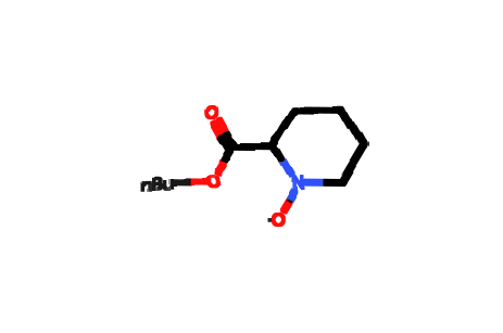 CCCCOC(=O)C1CCCCN1[O]